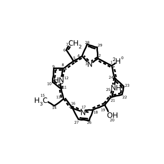 [2H]c1c2nc(c(C=C)c3ccc([nH]3)c(CC)c3nc(c(O)c4ccc1[nH]4)C=C3)C=C2